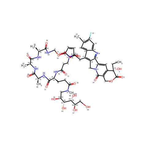 CC[C@@]1(O)C(=O)OCc2c1cc1n(c2=O)Cc2c-1nc1cc(F)c(C)cc1c2CCCCOCNC(=O)[C@H](C)NC(=O)[C@H](C)NC(=O)[C@H](C)NC(=O)[C@H](CCC(=O)N(C)C[C@H](O)[C@@H](O)[C@H](O)[C@H](O)CO)NC(=O)CCN1C(=O)C=CC1=O